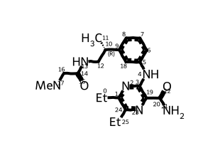 CCc1nc(Nc2cccc([C@@H](C)CNC(=O)CNC)c2)c(C(N)=O)nc1CC